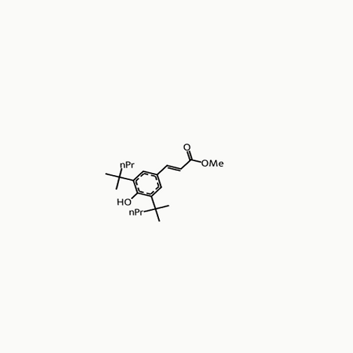 CCCC(C)(C)c1cc(C=CC(=O)OC)cc(C(C)(C)CCC)c1O